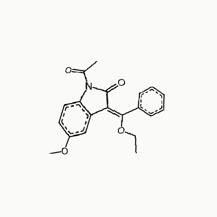 CCOC(=C1C(=O)N(C(C)=O)c2ccc(OC)cc21)c1ccccc1